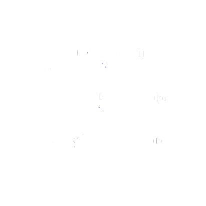 Cc1cc2c3c(c1)N1c4c(cc(C(C)(C)C)cc4C4(C)CCCCC14C)B3N(c1ccc(C(C)(C)C)cc1-c1ccccc1)c1cc3c(cc1-2)sc1ccccc13